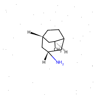 C[C@H]1C[C@H]2CCC1C[C@H](N)C2